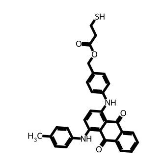 Cc1ccc(Nc2ccc(Nc3ccc(COC(=O)CCS)cc3)c3c2C(=O)c2ccccc2C3=O)cc1